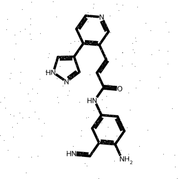 N=Cc1cc(NC(=O)/C=C/c2cnccc2-c2cn[nH]c2)ccc1N